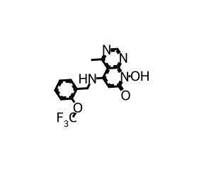 Cc1ncnc2c1c(NCc1ccccc1OC(F)(F)F)cc(=O)n2O